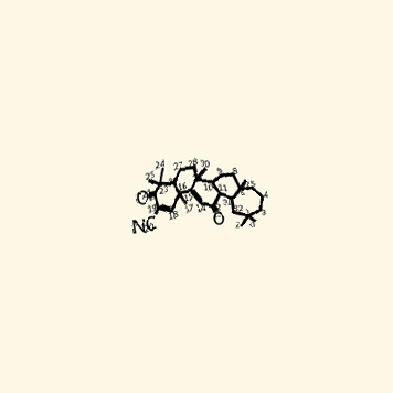 CC1(C)CCCC2(C)CCC3C(C(=O)C=C4C5(C)C=C(C#N)C(=O)C(C)(C)C5CCC43C)C2C1